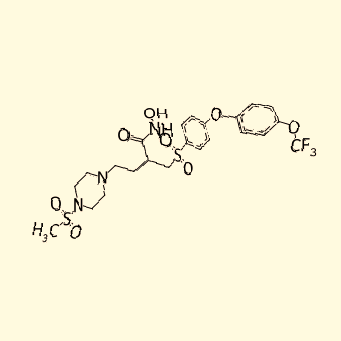 CS(=O)(=O)N1CCN(CCC(CS(=O)(=O)c2ccc(Oc3ccc(OC(F)(F)F)cc3)cc2)C(=O)NO)CC1